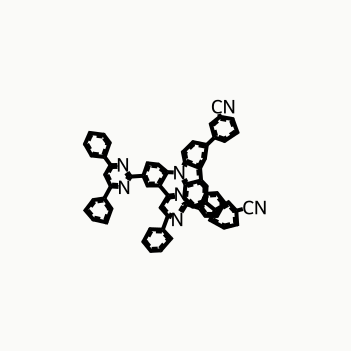 N#Cc1cccc(-c2ccc3c(c2)c2cc(-c4cccc(C#N)c4)ccc2n3-c2ccc(-c3nc(-c4ccccc4)cc(-c4ccccc4)n3)cc2-c2cc(-c3ccccc3)nc(-c3ccccc3)n2)c1